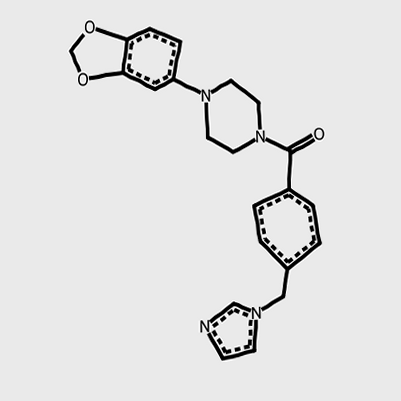 O=C(c1ccc(Cn2ccnc2)cc1)N1CCN(c2ccc3c(c2)OCO3)CC1